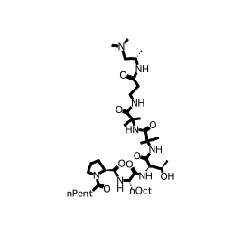 CCCCCCCC[C@H](NC(=O)[C@@H]1CCCN1C(=O)CCCCC)C(=O)N[C@H](C(=O)NC(C)(C)C(=O)NC(C)(C)C(=O)NCCC(=O)N[C@@H](C)CN(C)C)[C@@H](C)O